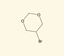 BrC1COCOC1